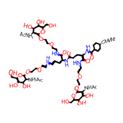 COC1CCC(C(=O)NC(CCC(=O)NC(CCCNCCOCCOC2OC(CO)[C@H](O)C(O)C2NC(C)=O)C(=O)NCCOCCOC2OC(CO)C(O)C(O)C2NC(C)=O)C(=O)NCCOCCOC2OC(CO)C(O)C(O)C2NC(C)=O)CC1